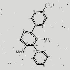 COc1ccc(-c2ccc(C(=O)O)cc2)c(C)c1-c1ccccc1